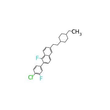 CCC1CCC(CCc2ccc3c(F)c(-c4ccc(Cl)c(F)c4)ccc3c2)CC1